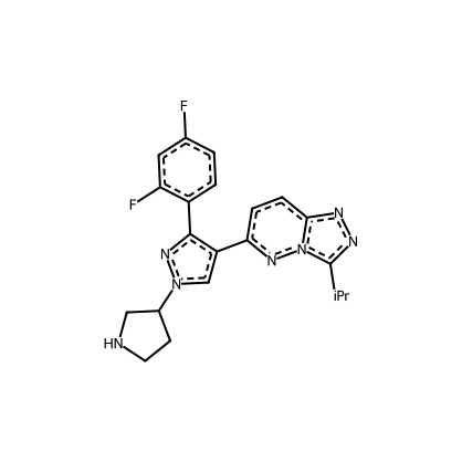 CC(C)c1nnc2ccc(-c3cn(C4CCNC4)nc3-c3ccc(F)cc3F)nn12